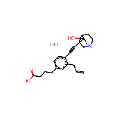 C=CCc1cc(CCCC(=O)O)ccc1C#CC1(O)CN2CCC1CC2.Cl